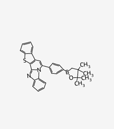 CC1(C)CB(c2ccc(-c3cc4c5ccccc5sc4c4nc5ccccc5n34)cc2)OC1(C)C